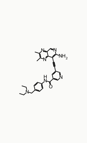 CCN(CC)Cc1ccc(NC(=O)c2cncc(C#Cc3c(N)ncc4nc(C)c(C)nc34)c2)cc1